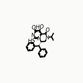 CC(C)N1C[C@H](C(c2ccccc2)c2ccccc2)n2c(S)nc(=O)c(O)c2C1=O